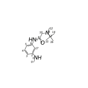 CNc1cccc(NC(=O)CN(C)C(C)(C)C)c1